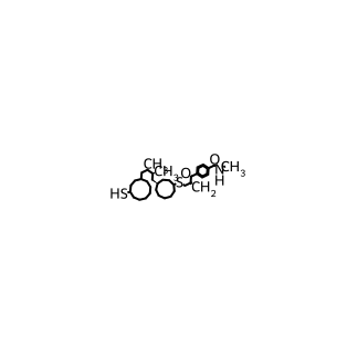 C=C(CSC1CCCCC[C@@H](C[C@H](C)[C@H](C)CC2CCCCCCC(S)CC2)CC1)C(=O)c1ccc(C(=O)NC)cc1